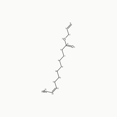 C=CCOC(=O)CCCCCCC/C=C\CCCC